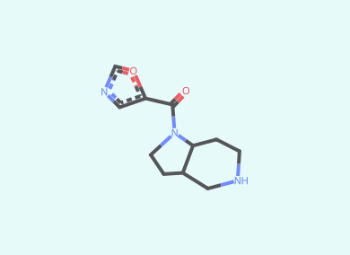 O=C(c1cnco1)N1CCC2CNCCC21